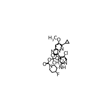 COc1cc2ncc(-c3nc(N[C@H]4CN(C(=O)OC(C)(C)C)CC[C@@H]4F)ncc3Cl)n2nc1C1CC1